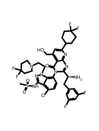 CS(=O)(=O)Nc1nn(CCN2CCC(F)(F)CC2)c2c(-n3c([C@@H](N)Cc4cc(F)cc(F)c4)nc4nc(C5CCC(F)(F)CC5)cc(CO)c4c3=O)ccc(Cl)c12